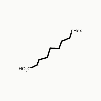 CCCCCCCCCCCC[CH]C(=O)O